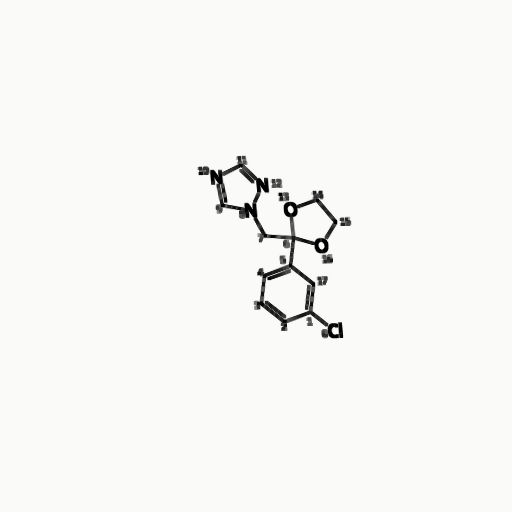 Clc1cccc(C2(Cn3cncn3)OCCO2)c1